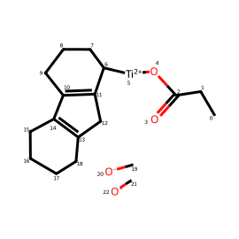 CCC(=O)[O][Ti+2][CH]1CCCC2=C1CC1=C2CCCC1.C[O-].C[O-]